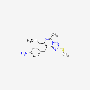 CCCc1nc(C)n2nc(SC)nc2c1Cc1ccc(N)cc1